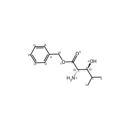 CC(C)[C@H](O)[C@H](N)C(=O)OCc1ccccc1